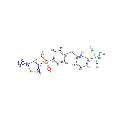 Cn1cnc(S(=O)(=O)c2ccc(Cc3cccc(C(F)(F)F)n3)cc2)c1